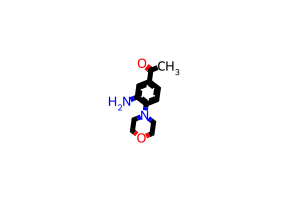 CC(=O)c1ccc(N2CCOCC2)c(N)c1